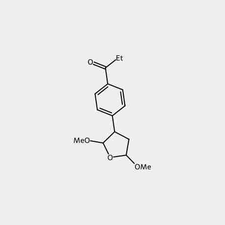 CCC(=O)c1ccc(C2CC(OC)OC2OC)cc1